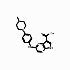 CN1CCN(c2ccc(Nc3cnc4[nH]cc(C(=O)C(C)(C)C)c4n3)cc2)CC1